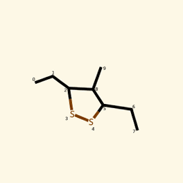 CCC1SSC(CC)C1C